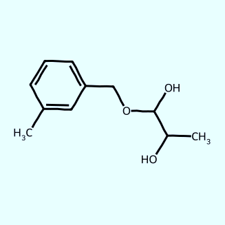 Cc1cccc(COC(O)C(C)O)c1